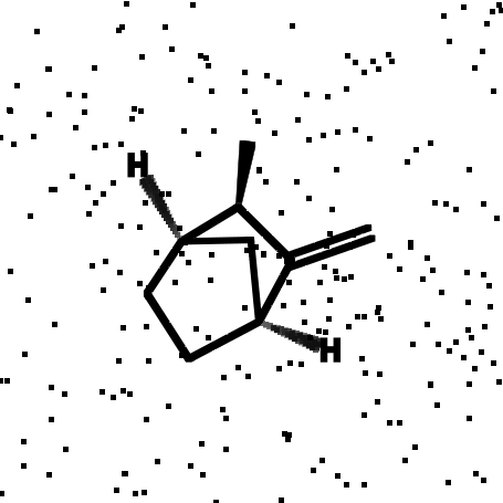 C=C1[C@H]2CC[C@H](C2)[C@H]1C